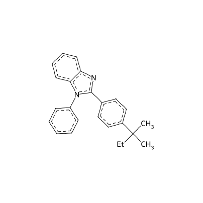 CCC(C)(C)c1ccc(-c2nc3ccccc3n2-c2ccccc2)cc1